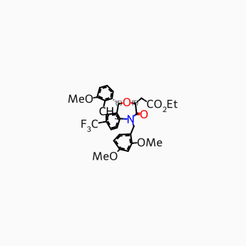 CCOC(=O)C[C@@H]1O[C@@H](c2cccc(OC)c2C)c2cc(C(F)(F)F)ccc2N(Cc2ccc(OC)cc2OC)C1=O